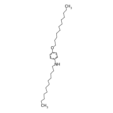 CCCCCCCCCCCCNc1ccc(OCCCCCCCCCCCC)cc1